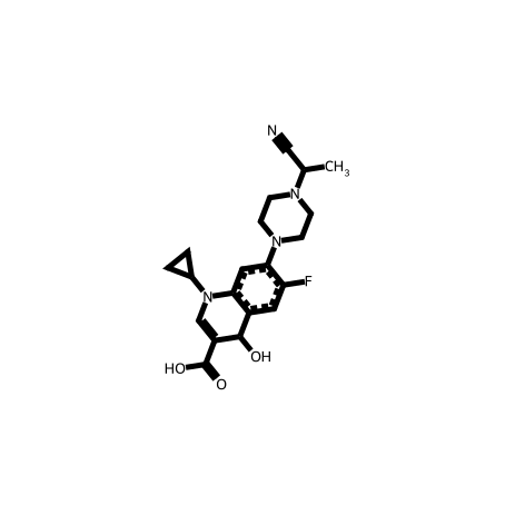 CC(C#N)N1CCN(c2cc3c(cc2F)C(O)C(C(=O)O)=CN3C2CC2)CC1